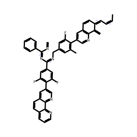 C=N/C(=N\C(=N/Cc1cc(C)c(-c2cnc3c(=C)/c(=C\C=C/C)ccc3c2)c(F)c1)c1cc(F)c(-c2cnc3c(ccc4cccnc43)c2)c(F)c1)c1ccccc1